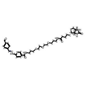 O=Cc1ccc(/C=N/Nc2ccc(C(=O)NCCCOCCOCCOCCCNC(=O)CCCC[C@@H]3SC[C@@H]4NC(=O)N[C@@H]43)cn2)cc1